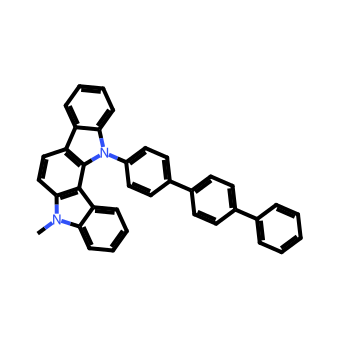 Cn1c2ccccc2c2c1ccc1c3ccccc3n(-c3ccc(-c4ccc(-c5ccccc5)cc4)cc3)c12